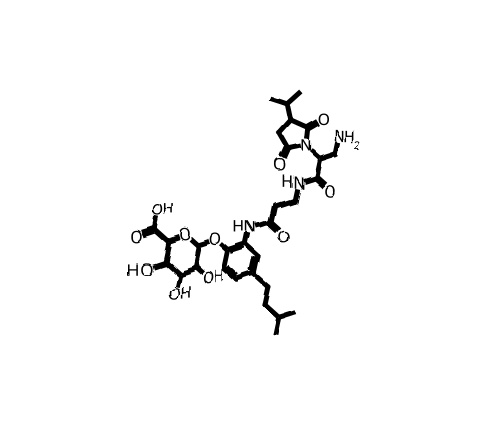 CC(C)CCc1ccc(OC2OC(C(=O)O)C(O)C(O)C2O)c(NC(=O)CCNC(=O)C(CN)N2C(=O)CC(C(C)C)C2=O)c1